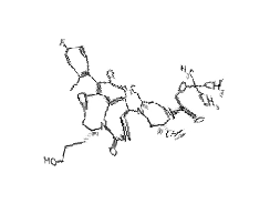 C[C@@H]1CN(c2nc(=O)n3c4c(c(-c5ccc(F)cc5F)c(Cl)cc24)OC[C@H]3CCCO)[C@@H](C)CN1C(=O)OC(C)(C)C